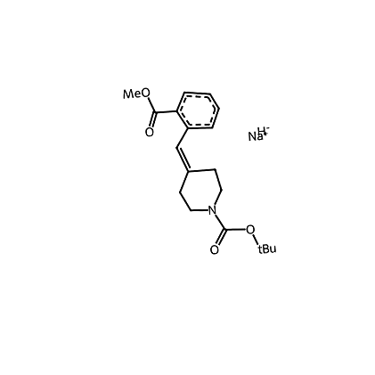 COC(=O)c1ccccc1C=C1CCN(C(=O)OC(C)(C)C)CC1.[H-].[Na+]